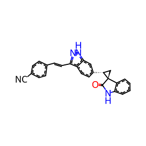 N#Cc1ccc(C=Cc2n[nH]c3cc([C@@H]4C[C@@]45C(=O)Nc4ccccc45)ccc23)cc1